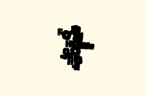 C=CC(=O)Nc1cc(Nc2cc(N3OCCC3c3cccc(F)c3)ncn2)c(OC)cc1N1CCC(N(C)C)C1